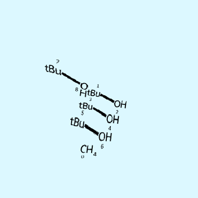 C.CC(C)(C)O.CC(C)(C)O.CC(C)(C)O.CC(C)(C)O